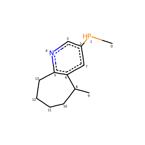 CPc1cnc2c(c1)C(C)CCCC2